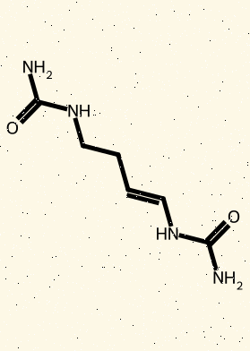 NC(=O)NC=CCCNC(N)=O